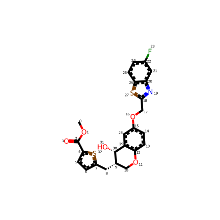 COC(=O)c1ccc(C[C@H]2COc3ccc(OCc4nc5cc(F)ccc5s4)cc3[C@H]2O)s1